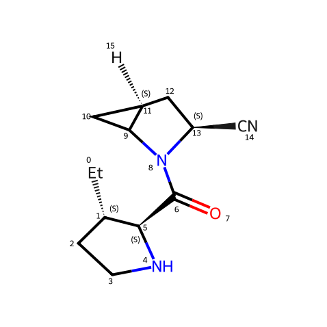 CC[C@H]1CCN[C@@H]1C(=O)N1C2C[C@H]2C[C@H]1C#N